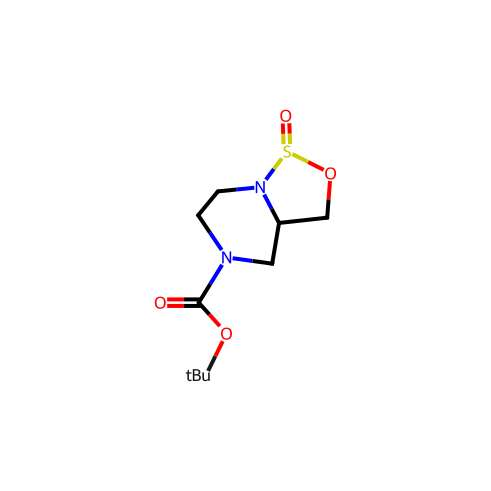 CC(C)(C)OC(=O)N1CCN2C(COS2=O)C1